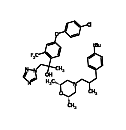 CC(Cc1ccc(C(C)(C)C)cc1)CN1C[C@@H](C)O[C@@H](C)C1.CC(O)(Cn1cncn1)c1ccc(Oc2ccc(Cl)cc2)cc1C(F)(F)F